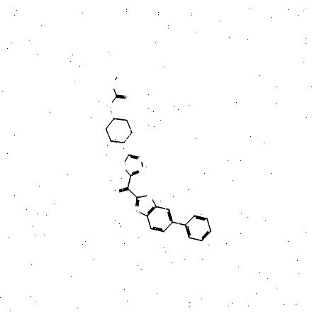 CC(C)(C)OC(=O)N[C@H]1CC[C@H](c2nnc(C(=O)c3nc4ccc(-c5ccccc5)cc4s3)o2)CC1